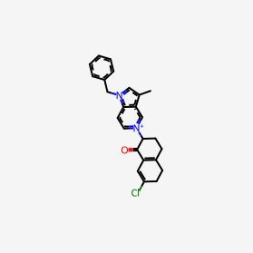 Cc1cn(Cc2ccccc2)c2cc[n+](C3CCC4=C(C=C(Cl)CC4)C3=O)cc12